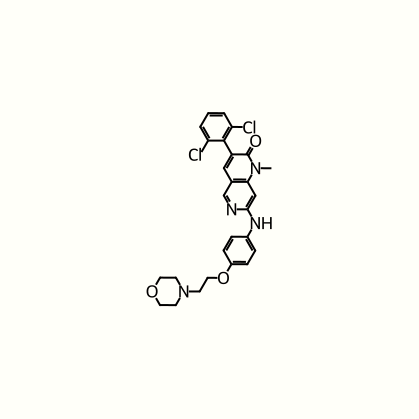 Cn1c(=O)c(-c2c(Cl)cccc2Cl)cc2cnc(Nc3ccc(OCCN4CCOCC4)cc3)cc21